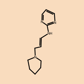 C(=CNc1ncccn1)CN1CCCCC1